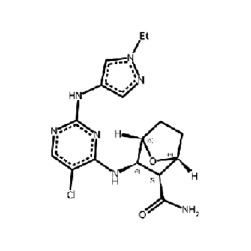 CCn1cc(Nc2ncc(Cl)c(N[C@@H]3[C@H](C(N)=O)[C@H]4CC[C@@H]3O4)n2)cn1